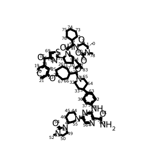 C[C@@H](C(=O)N[C@H](C(=O)N1CCC[C@H]1c1nc(C(=O)c2cccc(OC3CCCC(C(=O)N4CCC(c5ccc(Nc6nc(N7CCC[C@@H](N8CCN(C)C8=O)C7)cnc6C(N)=O)cc5)CC4)CC3)c2)cs1)C1CCCCC1)N(C)C(=O)OC(C)(C)C